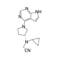 N#CCN(C1CC1)[C@@H]1CCN(c2ncnc3[nH]ccc23)C1